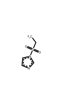 O=S(=O)(CC(F)(F)F)n1ccnc1